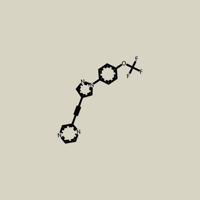 FC(F)(F)Oc1ccc(-n2cc(C#Cc3cnccn3)cn2)cc1